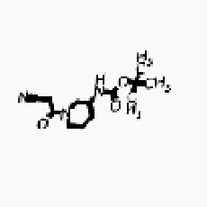 CC(C)(C)OC(=O)NC1CCCN(C(=O)CC#N)C1